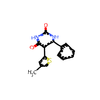 Cc1csc(-c2c(-c3ccccc3)[nH]c(=O)[nH]c2=O)c1